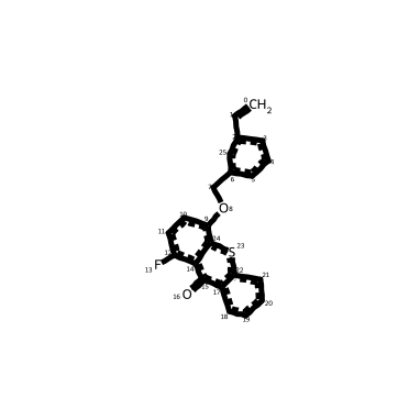 C=Cc1cccc(COc2ccc(F)c3c(=O)c4ccccc4sc23)c1